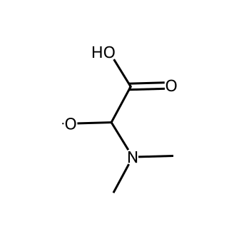 CN(C)C([O])C(=O)O